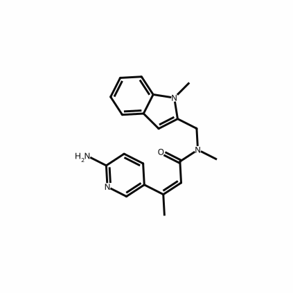 C/C(=C/C(=O)N(C)Cc1cc2ccccc2n1C)c1ccc(N)nc1